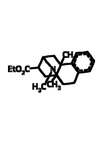 CCOC(=O)C1CC2(C)C3Cc4ccccc4C2(C)CC1N3C